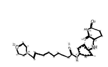 O=C1CCC(Nc2ccc(NC(=O)CCCCCCCN3CCOCC3)cc2)C(=O)N1